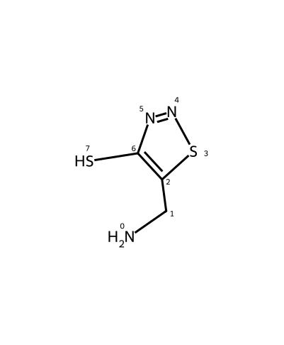 NCc1snnc1S